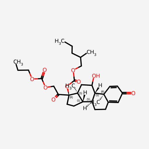 CCCOC(=O)OCC(=O)[C@@]1(OC(=O)OCC(C)CCC)CC[C@H]2[C@@H]3CCC4=CC(=O)C=C[C@]4(C)[C@H]3C(O)C[C@@]21C